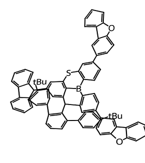 CC(C)(C)c1ccc(-c2cccc(-c3ccc(C(C)(C)C)cc3)c2C2c3cc(-c4ccc5oc6ccccc6c5c4)ccc3B3c4ccc(-c5ccc6oc7ccccc7c6c5)cc4Sc4cc(C5c6ccccc6-c6ccccc65)cc2c43)cc1